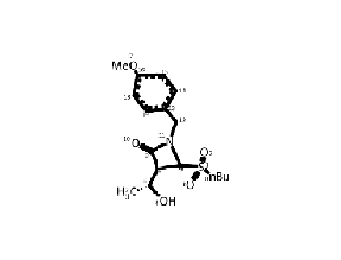 CCCCS(=O)(=O)C1C([C@@H](C)O)C(=O)N1Cc1ccc(OC)cc1